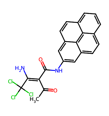 CC(=O)/C(C(=O)Nc1cc2ccc3cccc4ccc(c1)c2c34)=C(/N)C(Cl)(Cl)Cl